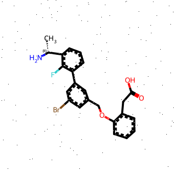 C[C@@H](N)c1cccc(-c2cc(Br)cc(COc3ccccc3CC(=O)O)c2)c1F